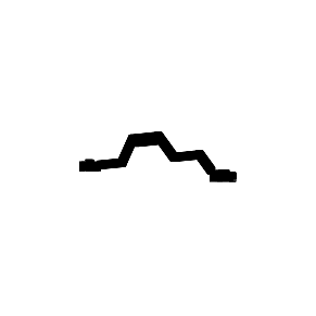 CCCCC/C=C\CCNC